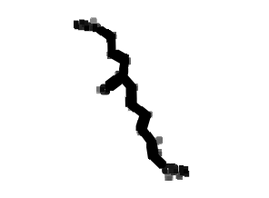 CCCCCCCCCCC=CC(=O)C=CC=CC=CC(=O)O